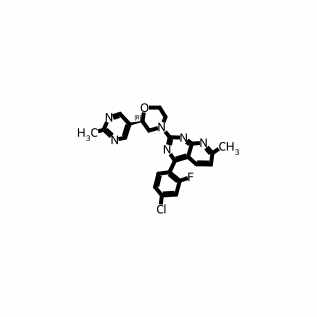 Cc1ccc2c(-c3ccc(Cl)cc3F)nc(N3CCO[C@H](c4cnc(C)nc4)C3)nc2n1